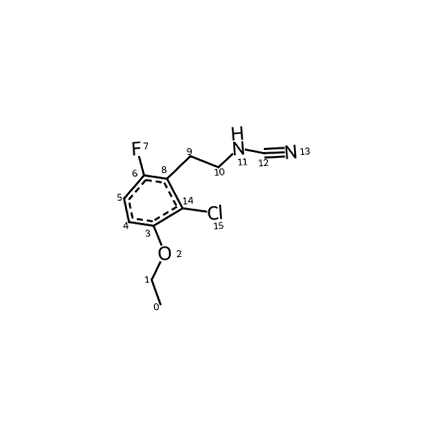 CCOc1ccc(F)c(CCNC#N)c1Cl